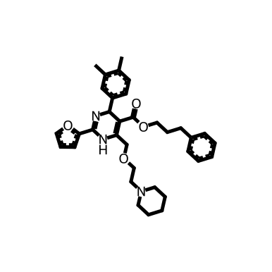 Cc1ccc(C2N=C(c3ccco3)NC(COCCN3CCCCC3)=C2C(=O)OCCCc2ccccc2)cc1C